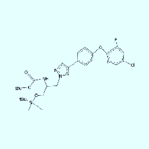 CC(C)(C)OC(=O)NC(CO[Si](C)(C)C(C)(C)C)Cn1cc(-c2ccc(Oc3ncc(Cl)cc3F)cc2)cn1